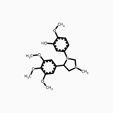 COc1ccc(N2CN(C)CC2c2cc(OC)c(OC)c(OC)c2)cc1O